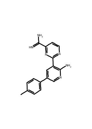 Cc1ccc(-c2cnc(N)c(-c3nccc(C(=N)N)n3)c2)cc1